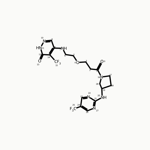 O=C(CCOCCNc1cn[nH]c(=O)c1C(F)(F)F)N1CCC(Nc2ncc(C(F)(F)F)cn2)C1